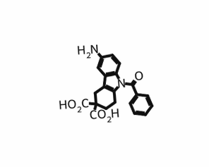 Nc1ccc2c(c1)c1c(n2C(=O)c2ccccc2)CCC(C(=O)O)(C(=O)O)C1